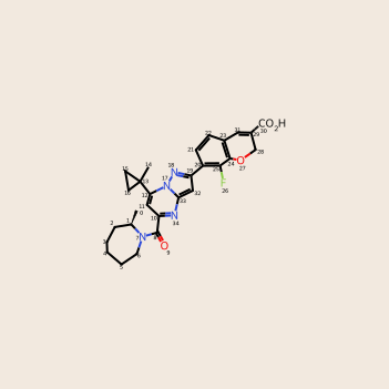 C[C@@H]1CCCCCN1C(=O)c1cc(C2(C)CC2)n2nc(-c3ccc4c(c3F)OCC(C(=O)O)=C4)cc2n1